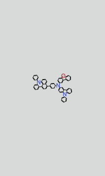 C1=CC(N(c2ccc3oc4ccccc4c3c2)c2ccc3c(c2)c2ccccc2n3-c2ccccc2)CC=C1c1ccc2c3c(cccc13)N(c1ccccc1)c1ccccc1-2